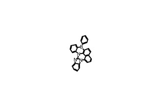 c1ccc(B2c3ccccc3-n3c4c2ccc2cccc(c24)n2c4ccccc4nc32)cc1